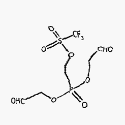 O=CCOP(=O)(COS(=O)(=O)C(F)(F)F)OCC=O